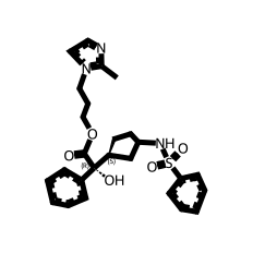 Cc1nccn1CCCOC(=O)[C@](O)(c1ccccc1)[C@H]1CCC(NS(=O)(=O)c2ccccc2)C1